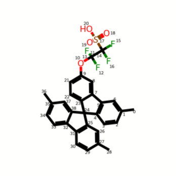 Cc1ccc2c(c1)-c1cc(OC(F)(F)C(F)(F)S(=O)(=O)O)ccc1C21c2cc(C)ccc2-c2ccc(C)cc21